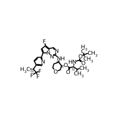 CC(C)[C@H](NC(=O)OC(C)(C)C)C(=O)O[C@@H]1COCC[C@H]1Nc1ncc2c(F)cc(-c3ccc([C@H](C)C(F)(F)F)cn3)n2n1